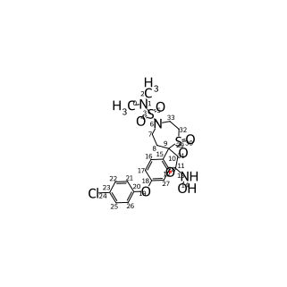 CN(C)S(=O)(=O)N1CCC(CC(=O)NO)(c2ccc(Oc3ccc(Cl)cc3)cc2)S(=O)(=O)CC1